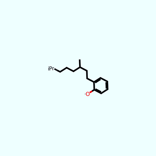 CC(C)CCCC(C)CCc1ccccc1[O]